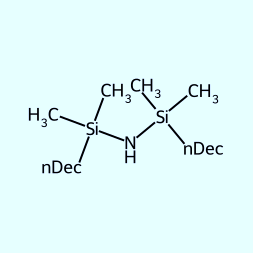 CCCCCCCCCC[Si](C)(C)N[Si](C)(C)CCCCCCCCCC